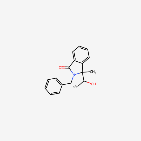 CCCC(O)C1(C)c2ccccc2C(=O)N1Cc1ccccc1